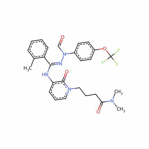 Cc1ccccc1/C(=N\N(C=O)c1ccc(OC(F)(F)F)cc1)Nc1cccn(CCCC(=O)N(C)C)c1=O